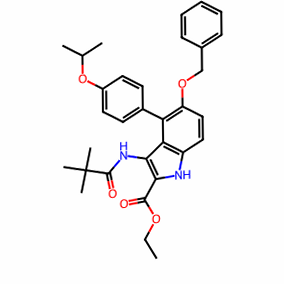 CCOC(=O)c1[nH]c2ccc(OCc3ccccc3)c(-c3ccc(OC(C)C)cc3)c2c1NC(=O)C(C)(C)C